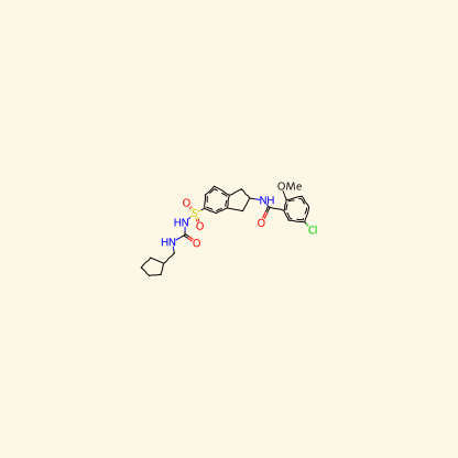 COc1ccc(Cl)cc1C(=O)NC1Cc2ccc(S(=O)(=O)NC(=O)NCC3CCCC3)cc2C1